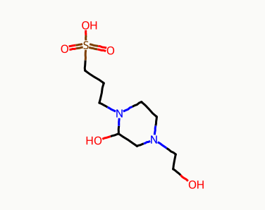 O=S(=O)(O)CCCN1CCN(CCO)CC1O